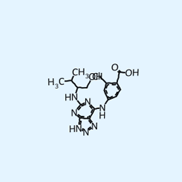 CC(C)C(CO)Nc1nc(Nc2ccc(C(=O)O)c(Cl)c2)c2nn[nH]c2n1